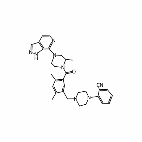 Cc1cc(C)c(C(=O)N2CCN(c3nccc4cn[nH]c34)CC2C)cc1CN1CCN(c2ccccc2C#N)CC1